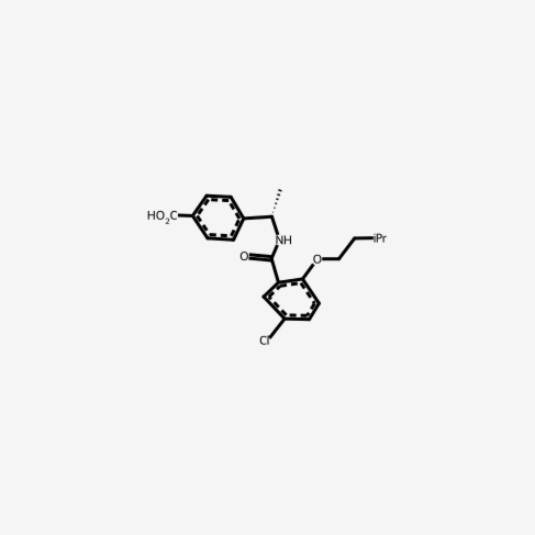 CC(C)CCOc1ccc(Cl)cc1C(=O)N[C@@H](C)c1ccc(C(=O)O)cc1